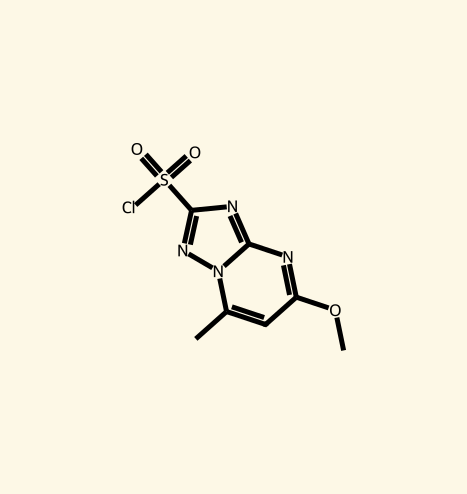 COc1cc(C)n2nc(S(=O)(=O)Cl)nc2n1